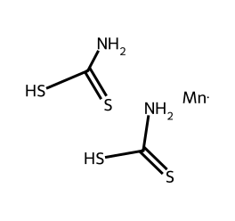 NC(=S)S.NC(=S)S.[Mn]